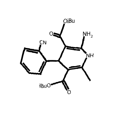 CC1=C(C(=O)OCC(C)C)C(c2ccccc2C#N)C(C(=O)OCC(C)C)=C(N)N1